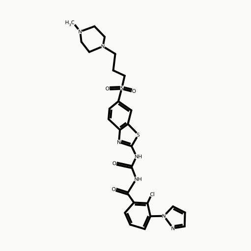 CN1CCN(CCCS(=O)(=O)c2ccc3nc(NC(=O)NC(=O)c4cccc(-n5cccn5)c4Cl)sc3c2)CC1